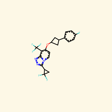 Fc1ccc(C2CC(Oc3ccn4c(C5CC5(F)F)nnc4c3C(F)(F)F)C2)cc1